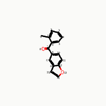 Cc1ccccc1C(=O)c1ccc2occc2c1